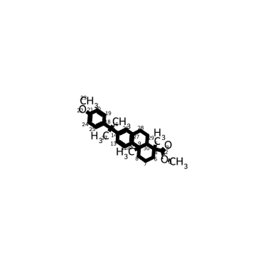 COC(=O)C1(C)CCCC2(C)c3ccc(C(C)(C)c4ccc(OC)cc4)cc3CCC12